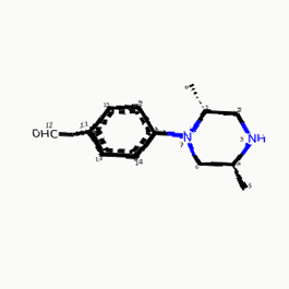 C[C@@H]1CN[C@@H](C)CN1c1ccc(C=O)cc1